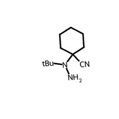 CC(C)(C)N(N)C1(C#N)CCCCC1